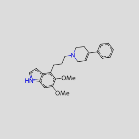 COc1cc2[nH]ccc2c(CCCN2CC=C(c3ccccc3)CC2)c1OC